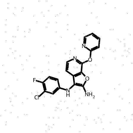 Nc1oc2c(Oc3ccccn3)nccc2c1Nc1ccc(F)c(Cl)c1